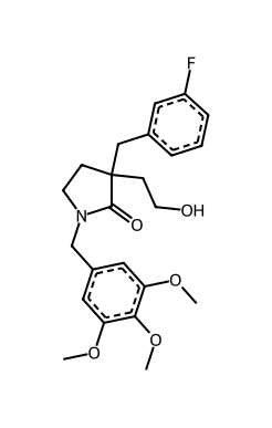 COc1cc(CN2CCC(CCO)(Cc3cccc(F)c3)C2=O)cc(OC)c1OC